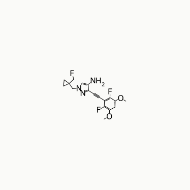 COc1cc(OC)c(F)c(C#Cc2nn(CC3(CF)CC3)cc2N)c1F